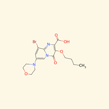 CCCCOc1c(C(=O)O)nc2c(Br)cc(N3CCOCC3)cn2c1=O